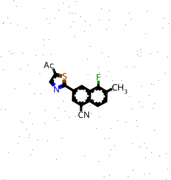 CC(=O)c1cnc(-c2cc(C#N)c3ccc(C)c(F)c3c2)s1